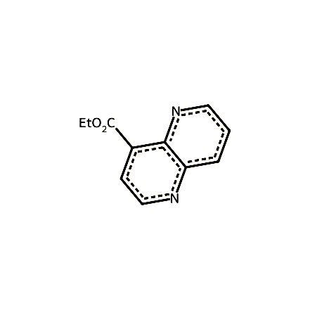 CCOC(=O)c1ccnc2cccnc12